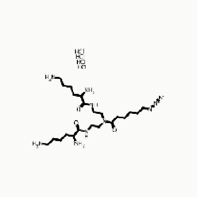 Cl.Cl.Cl.Cl.[N-]=[N+]=NCCCCCC(=O)N(CCNC(=O)C(N)CCCCN)CCNC(=O)C(N)CCCCN